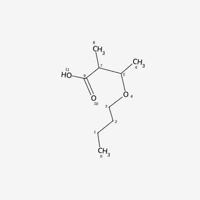 CCCCOC(C)C(C)C(=O)O